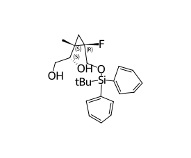 CC(C)(C)[Si](OC[C@@]1(F)C[C@@]1(C)[C@H](O)CO)(c1ccccc1)c1ccccc1